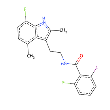 Cc1[nH]c2c(F)ccc(C)c2c1CCNC(=O)c1c(F)cccc1I